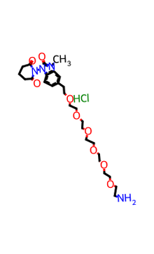 Cl.Cn1c(=O)n(N2C(=O)CCCC2=O)c2ccc(CCOCCOCCOCCOCCOCCOCCN)cc21